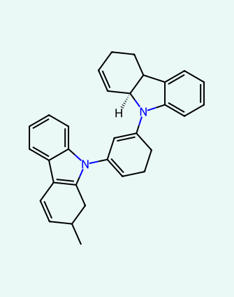 CC1C=Cc2c(n(C3=CCCC(N4c5ccccc5C5CCC=C[C@@H]54)=C3)c3ccccc23)C1